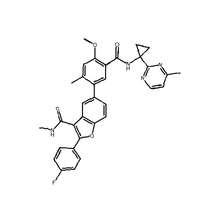 CNC(=O)c1c(-c2ccc(F)cc2)oc2ccc(-c3cc(C(=O)NC4(c5nccc(C)n5)CC4)c(OC)cc3C)cc12